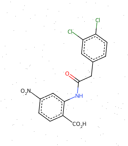 O=C(Cc1ccc(Cl)c(Cl)c1)Nc1cc([N+](=O)[O-])ccc1C(=O)O